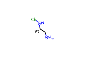 NCCNCl.[Pt]